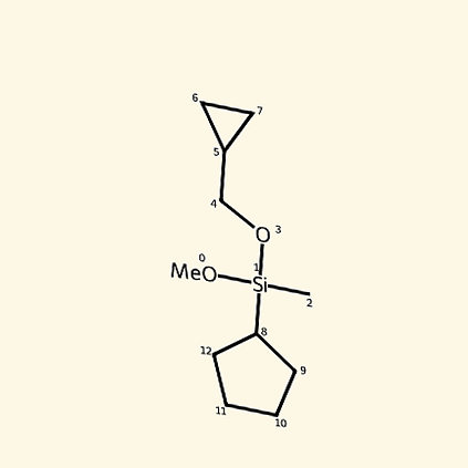 CO[Si](C)(OCC1CC1)C1CCCC1